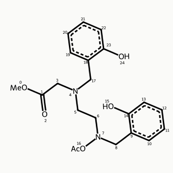 COC(=O)CN(CCN(Cc1ccccc1O)OC(C)=O)Cc1ccccc1O